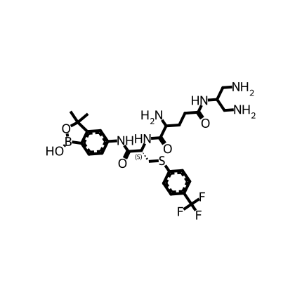 CC1(C)OB(O)c2ccc(NC(=O)[C@@H](CSc3ccc(C(F)(F)F)cc3)NC(=O)C(N)CCC(=O)NC(CN)CN)cc21